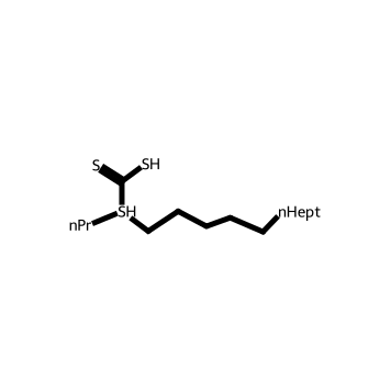 CCCCCCCCCCCC[SH](CCC)C(=S)S